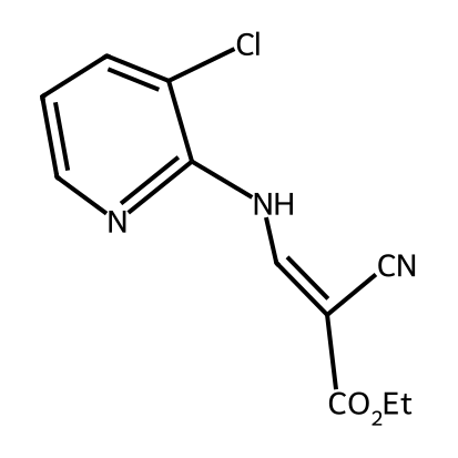 CCOC(=O)C(C#N)=CNc1ncccc1Cl